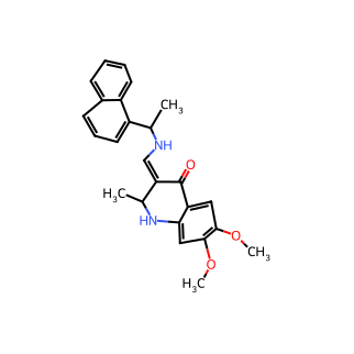 COc1cc2c(cc1OC)C(=O)C(=CNC(C)c1cccc3ccccc13)C(C)N2